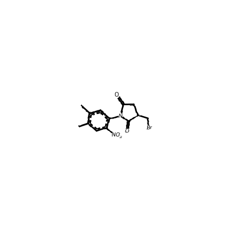 Cc1cc(N2C(=O)CC(CBr)C2=O)c([N+](=O)[O-])cc1C